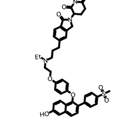 CCN(CCCc1ccc2c(c1)CN(C1CCC(=O)NC1=O)C2=O)CCOc1ccc(Oc2c(-c3ccc(S(C)(=O)=O)cc3)ccc3cc(O)ccc23)cc1